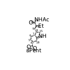 CCCCCOC(=O)c1ccc2c(/C=C(\CC)C(=O)NC(C)=O)c[nH]c2c1